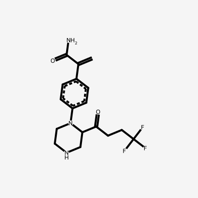 C=C(C(N)=O)c1ccc(N2CCNCC2C(=O)CCC(F)(F)F)cc1